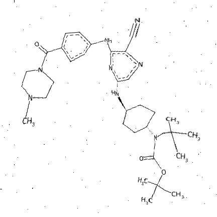 CN1CCN(C(=O)c2ccc(Nc3nc(N[C@H]4CC[C@H](N(C(=O)OC(C)(C)C)C(C)(C)C)CC4)cnc3C#N)cc2)CC1